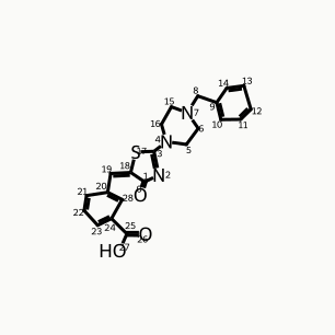 O=C1N=C(N2CCN(Cc3ccccc3)CC2)S/C1=C/c1cccc(C(=O)O)c1